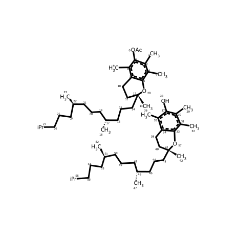 CC(=O)Oc1c(C)c(C)c2c(c1C)CC[C@@](C)(CCC[C@H](C)CCC[C@H](C)CCCC(C)C)O2.Cc1c(C)c2c(c(C)c1O)CC[C@@](C)(CCC[C@H](C)CCC[C@H](C)CCCC(C)C)O2